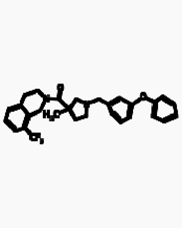 CC1(C(=O)N2CCc3cccc(C(F)(F)F)c3C2)CCN(Cc2cccc(Oc3ccccc3)c2)C1